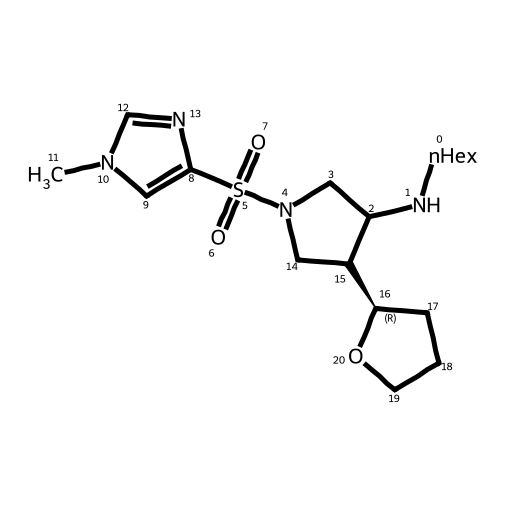 CCCCCCNC1CN(S(=O)(=O)c2cn(C)cn2)CC1[C@H]1CCCO1